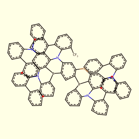 FC(F)(F)c1cccc(-c2ccccc2)c1N1c2cc3c(cc2B2c4ccccc4N(c4ccccc4-c4ccccc4)c4cc(N(c5ccccc5)c5ccccc5-c5ccccc5)cc1c42)B1c2ccccc2N(c2ccccc2-c2ccccc2)c2cc(N(c4ccccc4)c4ccccc4-c4ccccc4)cc(c21)S3